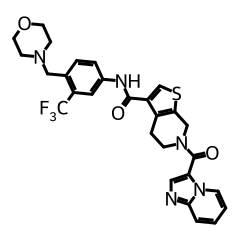 O=C(Nc1ccc(CN2CCOCC2)c(C(F)(F)F)c1)c1csc2c1CCN(C(=O)c1cnc3ccccn13)C2